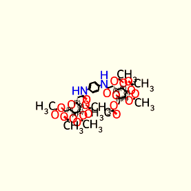 CC(=O)OC[C@H]1O[C@H](CC(=O)Nc2ccc(NC(=O)C[C@H]3O[C@H](COC(C)=O)[C@@H](OC(C)=O)[C@H](OC(C)=O)[C@@H]3OC(C)=O)cc2)[C@@H](OC(C)=O)[C@H](OC(C)=O)[C@@H]1OC(C)=O